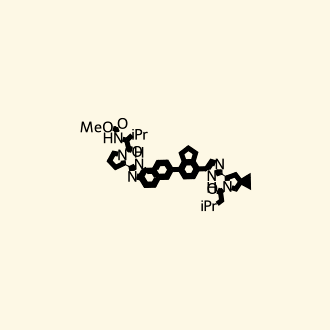 COC(=O)NC(C(=O)N1CCC[C@H]1c1nc2ccc3cc(-c4ccc(-c5cnc([C@@H]6CC7(CC7)CN6C(=O)CC(C)C)[nH]5)c5c4CCC5)ccc3c2[nH]1)C(C)C